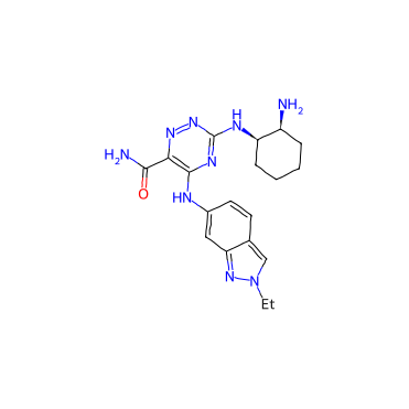 CCn1cc2ccc(Nc3nc(N[C@@H]4CCCC[C@@H]4N)nnc3C(N)=O)cc2n1